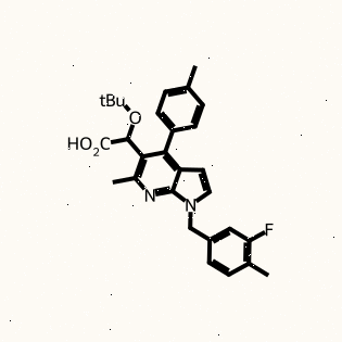 Cc1ccc(-c2c(C(OC(C)(C)C)C(=O)O)c(C)nc3c2ccn3Cc2ccc(C)c(F)c2)cc1